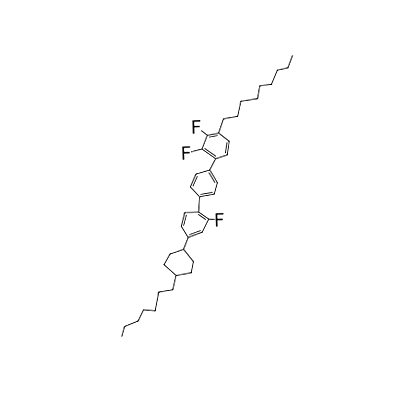 CCCCCCCCCc1ccc(-c2ccc(-c3ccc(C4CCC(CCCCCCC)CC4)cc3F)cc2)c(F)c1F